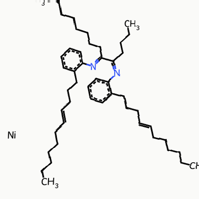 CCCCCCC=CCCCc1ccccc1N=C(CCCC)C(CCCCCCCC)=Nc1ccccc1CCCC=CCCCCCC.[Ni]